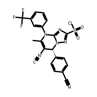 [C-]#[N+]C1=C(C)N(c2cccc(C(F)(F)F)c2)c2nc(S(=O)(=O)Cl)nn2[C@@H]1c1ccc(C#N)cc1